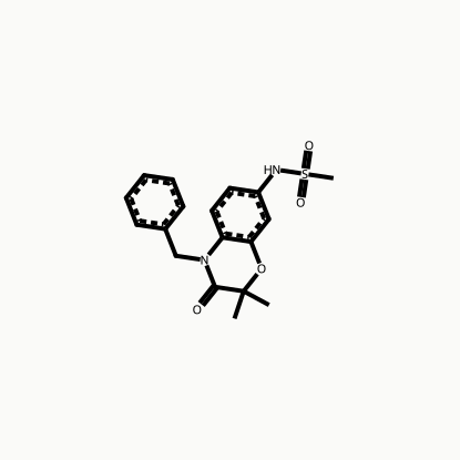 CC1(C)Oc2cc(NS(C)(=O)=O)ccc2N(Cc2ccccc2)C1=O